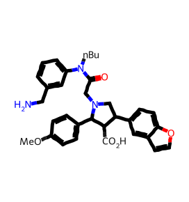 CCCCN(C(=O)CN1CC(c2ccc3occc3c2)C(C(=O)O)C1c1ccc(OC)cc1)c1cccc(CN)c1